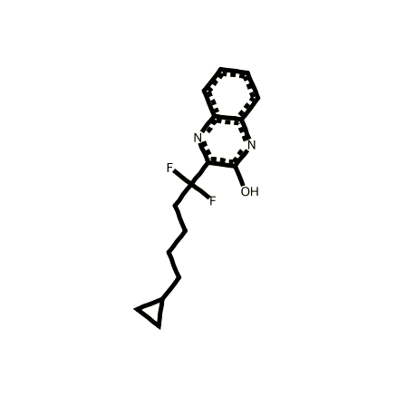 Oc1nc2ccccc2nc1C(F)(F)CCCCC1CC1